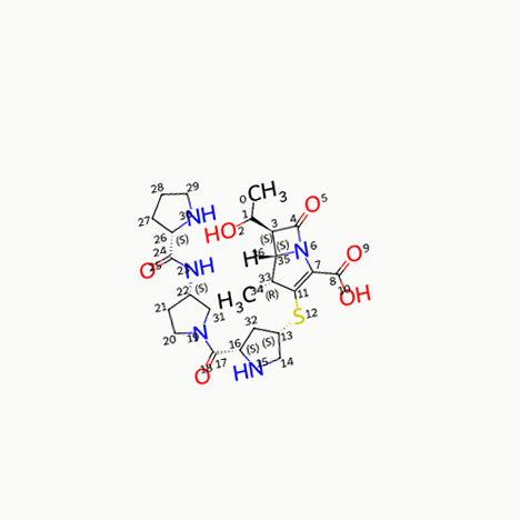 CC(O)[C@H]1C(=O)N2C(C(=O)O)=C(S[C@@H]3CN[C@H](C(=O)N4CC[C@H](NC(=O)[C@@H]5CCCN5)C4)C3)[C@H](C)[C@H]12